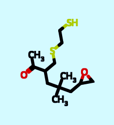 CC(=O)C(CSCCS)CC(C)(C)CC1CO1